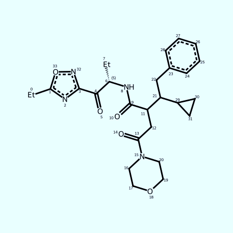 CCc1nc(C(=O)[C@H](CC)NC(=O)C(CC(=O)N2CCOCC2)C(Cc2ccccc2)C2CC2)no1